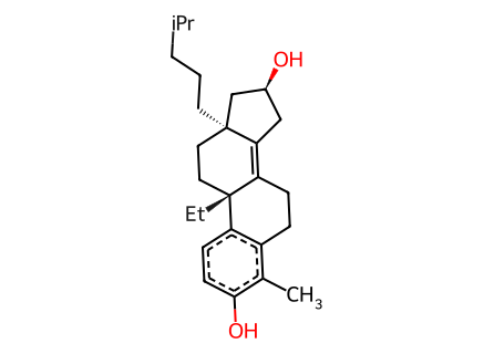 CC[C@@]12CC[C@@]3(CCCC(C)C)C[C@@H](O)CC3=C1CCc1c2ccc(O)c1C